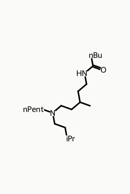 CCCCCN(CCC(C)C)CCC(C)CCNC(=O)CCCC